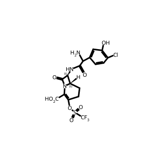 NC(C(=O)N[C@@H]1C(=O)N2C(C(=O)O)=C(OS(=O)(=O)C(F)(F)F)CC[C@@H]12)c1ccc(Cl)c(O)c1